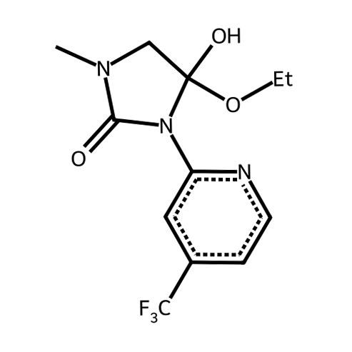 CCOC1(O)CN(C)C(=O)N1c1cc(C(F)(F)F)ccn1